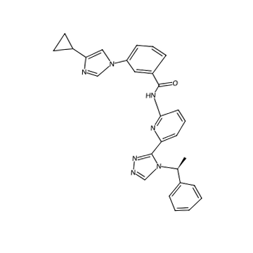 C[C@@H](c1ccccc1)n1cnnc1-c1cccc(NC(=O)c2cccc(-n3cnc(C4CC4)c3)c2)n1